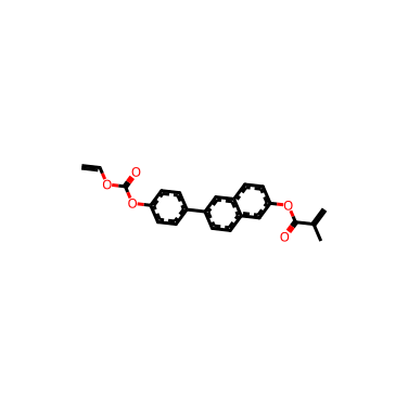 C=COC(=O)Oc1ccc(-c2ccc3cc(OC(=O)C(=C)C)ccc3c2)cc1